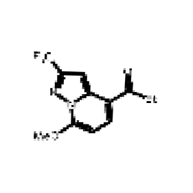 CCC(=O)c1ccc(OC)n2nc(C(F)(F)F)cc12